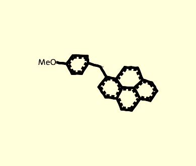 COc1ccc([CH]c2ccc3ccc4cccc5ccc2c3c45)cc1